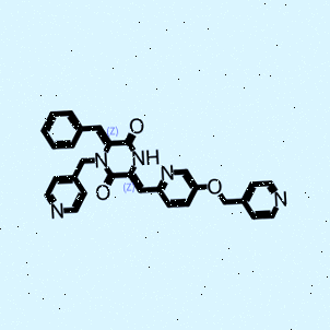 O=c1[nH]/c(=C\c2ccc(OCc3ccncc3)cn2)c(=O)n(Cc2ccncc2)/c1=C\c1ccccc1